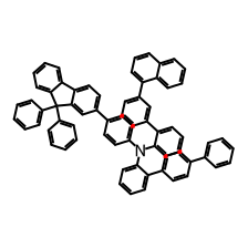 c1ccc(-c2ccc(-c3ccccc3N(c3ccc(-c4ccc5c(c4)C(c4ccccc4)(c4ccccc4)c4ccccc4-5)cc3)c3ccccc3-c3cccc(-c4cccc5ccccc45)c3)cc2)cc1